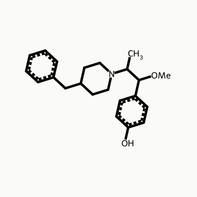 COC(c1ccc(O)cc1)C(C)N1CCC(Cc2ccccc2)CC1